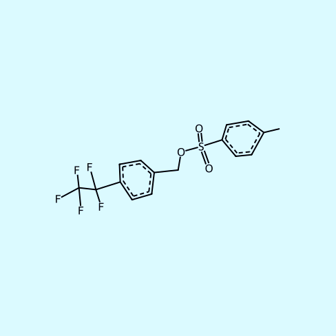 Cc1ccc(S(=O)(=O)OCc2ccc(C(F)(F)C(F)(F)F)cc2)cc1